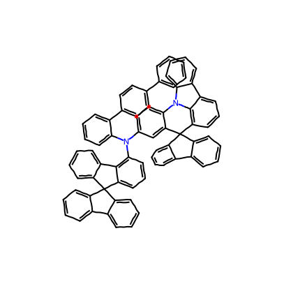 c1ccc(-c2ccc(-c3ccccc3N(c3ccc4c(c3)C3(c5ccccc5-c5ccccc53)c3cccc5c6ccccc6n-4c35)c3cccc4c3-c3ccccc3C43c4ccccc4-c4ccccc43)cc2)cc1